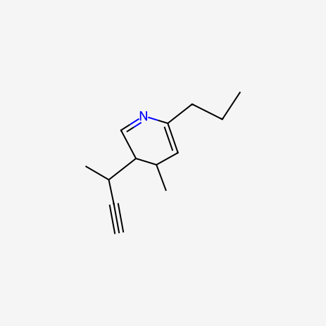 C#CC(C)C1C=NC(CCC)=CC1C